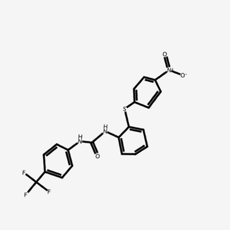 O=C(Nc1ccc(C(F)(F)F)cc1)Nc1ccccc1Sc1ccc([N+](=O)[O-])cc1